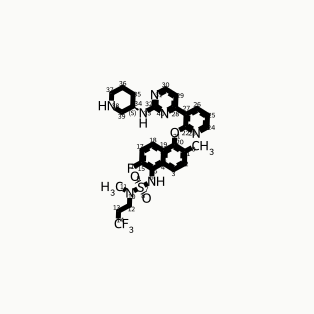 Cc1ccc2c(NS(=O)(=O)N(C)CCC(F)(F)F)c(F)ccc2c1Oc1ncccc1-c1ccnc(N[C@H]2CCCNC2)n1